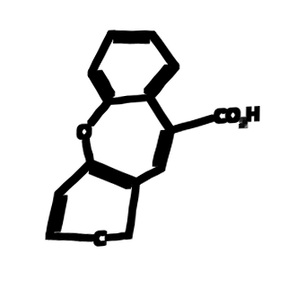 O=C(O)C1=CC2=C(C=CCC2)Oc2ccccc21